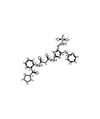 CS(=O)(=O)NCc1nc(NC(=O)CC(=O)Nc2ccccc2C(=O)C2CCCC2)sc1Sc1ccccn1